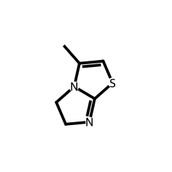 CC1=CSC2=NCCN12